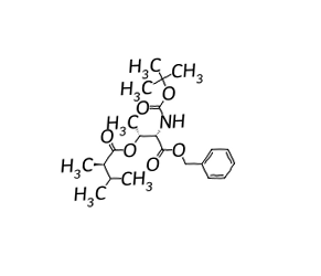 CC(C)[C@@H](C)C(=O)O[C@H](C)[C@H](NC(=O)OC(C)(C)C)C(=O)OCc1ccccc1